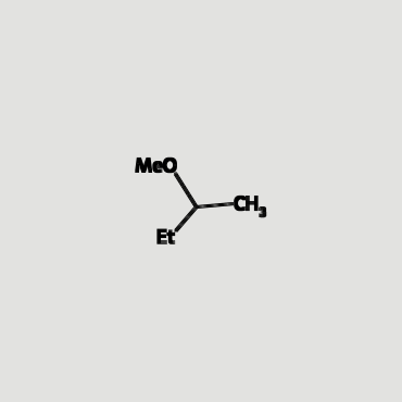 [CH2]OC(C)CC